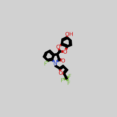 O=C1C(C2Oc3ccc(O)cc3O2)c2cccc(F)c2N1Cc1ccc(C(F)(F)F)o1